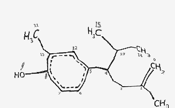 C=C(C)CC(c1ccc(O)c(C)c1)C(C)C